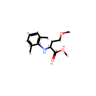 COCCC(Nc1c(C)cccc1C)C(=O)OC